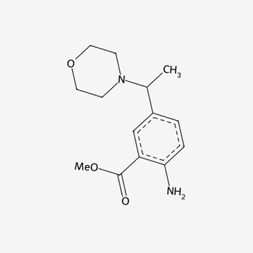 COC(=O)c1cc(C(C)N2CCOCC2)ccc1N